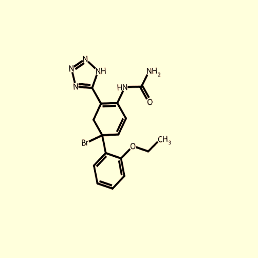 CCOc1ccccc1C1(Br)C=CC(NC(N)=O)=C(c2nnn[nH]2)C1